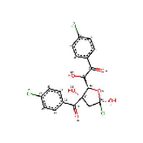 O=C(c1ccc(Cl)cc1)C(O)[C@H]1O[C@@](O)(Cl)C[C@@]1(O)C(=O)c1ccc(Cl)cc1